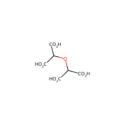 O=C(O)C(OC(C(=O)O)C(=O)O)C(=O)O